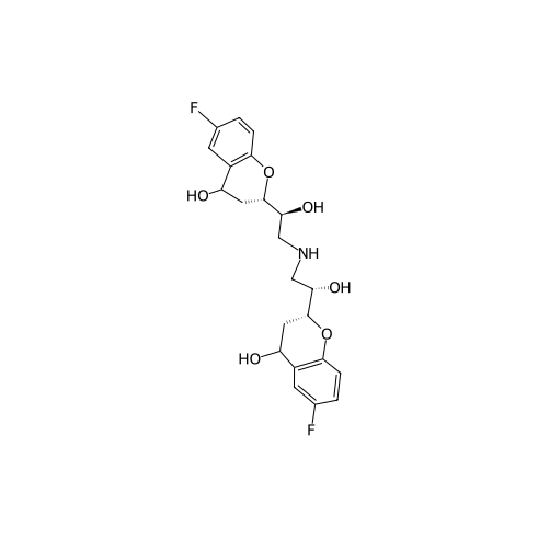 OC1C[C@@H]([C@@H](O)CNC[C@H](O)[C@H]2CC(O)c3cc(F)ccc3O2)Oc2ccc(F)cc21